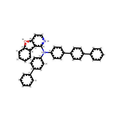 c1ccc(-c2ccc(-c3ccc(N(c4ccc(-c5ccccc5)cc4)c4nccc5oc6ccccc6c45)cc3)cc2)cc1